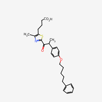 Cc1nc(C(=O)C(C)c2ccc(OCCCCCc3ccccc3)cc2)sc1CCCC(=O)O